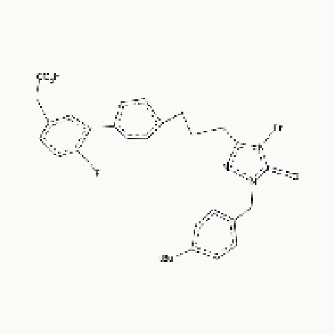 CCn1c(CCCc2ccc(-c3cc(CC(=O)O)ccc3F)cc2)nn(Cc2ccc(C(C)(C)C)cc2)c1=O